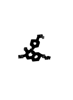 CCCOc1ccc2cc(C#N)c(=O)n(-c3ccc([N+](=O)[O-])cc3)c2c1